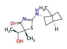 C[C@H](O)[C@@]1(C)SC(N[C@H]2C[C@@H]3CCC32C)=NC1=O